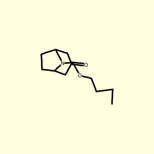 CCCCOCN1C2CCC1CC(=O)C2